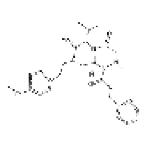 COc1ccc(CCN2C[C@H]3N(C(=O)CN(C)N3C(=O)NCc3ccccc3)[C@@H](C(C)C)C2=O)cc1